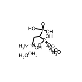 N[C@@H](O)CC(P(=O)(O)O)P(=O)(O)O.O.O.O.O.O